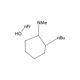 CCCCC1CCCCC1NC.CCCO